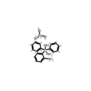 Nc1ccccc1P(N)(N)(c1ccccc1)c1ccccc1.[Br][Ru]([Br])[Br]